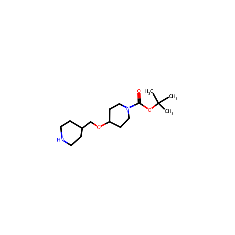 CC(C)(C)OC(=O)N1CCC(OCC2CCNCC2)CC1